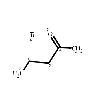 CCCC(C)=O.[Ti]